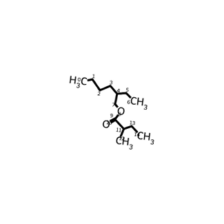 CCCCC(CC)COC(=O)C(C)CC